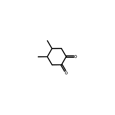 CC1CC(=O)C(=O)CC1C